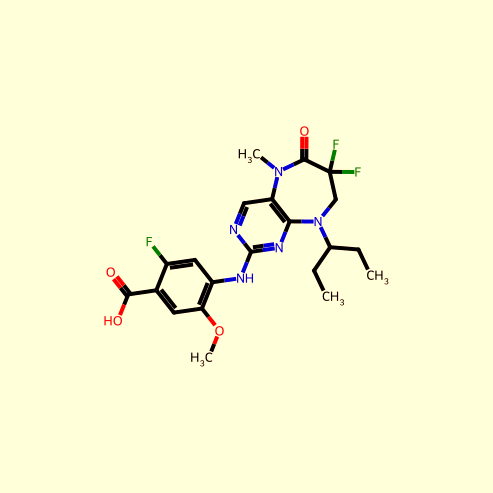 CCC(CC)N1CC(F)(F)C(=O)N(C)c2cnc(Nc3cc(F)c(C(=O)O)cc3OC)nc21